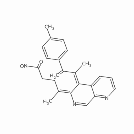 C=C(/C(C)=c1\c(=C(\C)CCC(=O)N=O)ncc2ncccc12)c1ccc(C)cc1